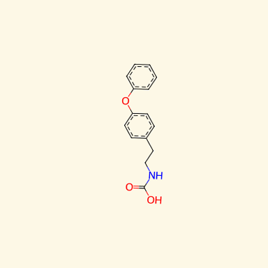 O=C(O)NCCc1ccc(Oc2ccccc2)cc1